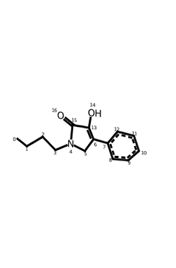 CCCCN1CC(c2ccccc2)=C(O)C1=O